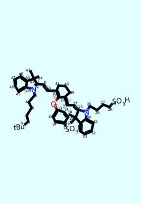 CC(C)(C)CCCCC[N+]1=C(/C=C/C2=C(Oc3ccc(S(=O)(=O)O)cc3)C(=C/C=C3/N(CCCCS(=O)(=O)O)c4ccccc4C3(C)C)/CCC2)C(C)(C)c2ccccc21